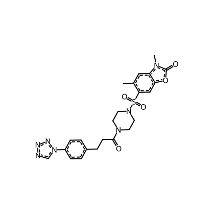 Cc1cc2c(cc1S(=O)(=O)N1CCN(C(=O)CCc3ccc(-n4cnnn4)cc3)CC1)oc(=O)n2C